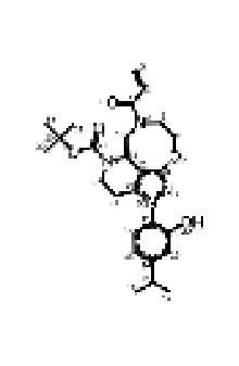 C=CC(=O)N1CCOc2nn(-c3ccc(C(C)C)cc3O)c3c2C(C1)N(C(=O)OC(C)(C)C)CC3